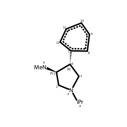 CN[C@@H]1CN(C(C)C)C[C@H]1c1ccccc1